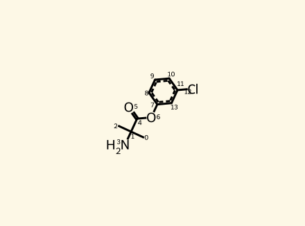 CC(C)(N)C(=O)Oc1cccc(Cl)c1